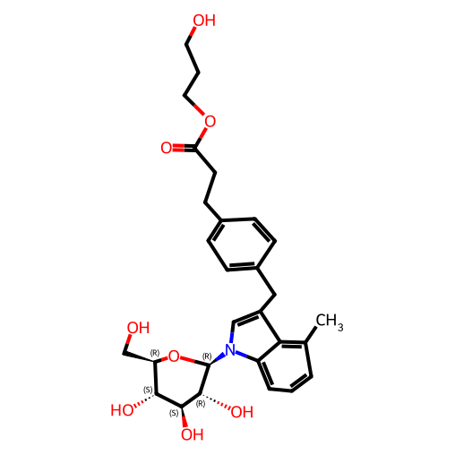 Cc1cccc2c1c(Cc1ccc(CCC(=O)OCCCO)cc1)cn2[C@@H]1O[C@H](CO)[C@@H](O)[C@H](O)[C@H]1O